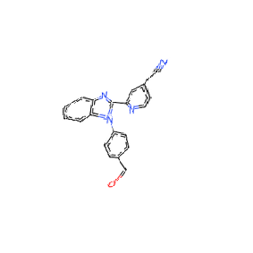 N#Cc1ccnc(-c2nc3ccccc3n2-c2ccc(C=O)cc2)c1